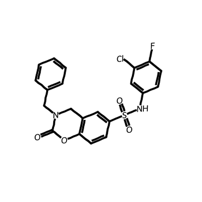 O=C1Oc2ccc(S(=O)(=O)Nc3ccc(F)c(Cl)c3)cc2CN1Cc1ccccc1